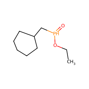 CCO[PH](=O)CC1CCCCC1